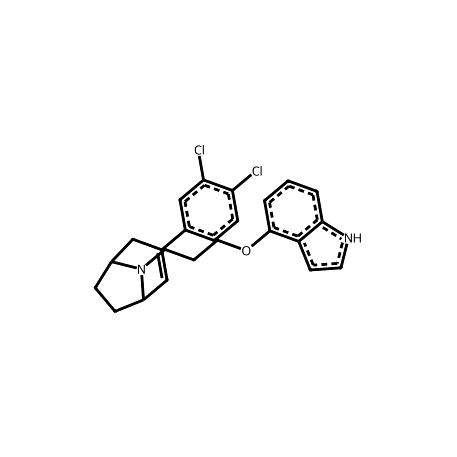 Clc1ccc(C2=CC3CCC(C2)N3CCCOc2cccc3[nH]ccc23)cc1Cl